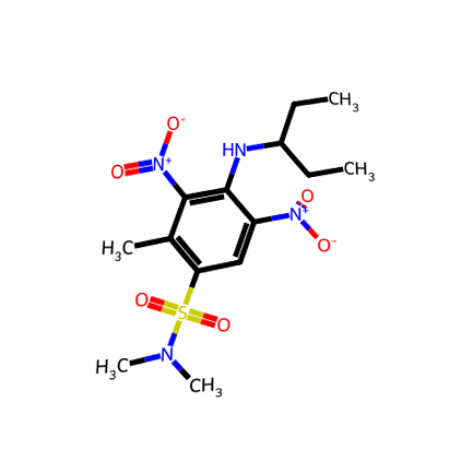 CCC(CC)Nc1c([N+](=O)[O-])cc(S(=O)(=O)N(C)C)c(C)c1[N+](=O)[O-]